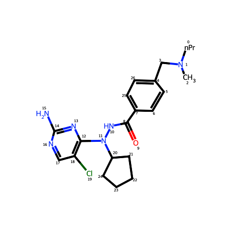 CCCN(C)Cc1ccc(C(=O)NN(c2nc(N)ncc2Cl)C2CCCC2)cc1